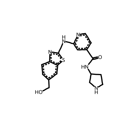 O=C(NC1CCNC1)c1ccnc(Nc2nc3ccc(CO)cc3s2)c1